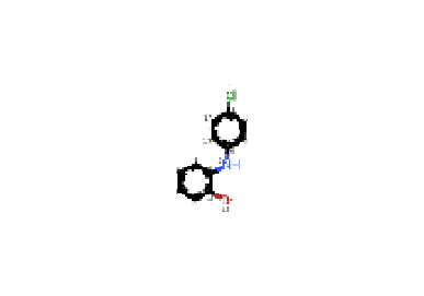 Clc1ccc(Nc2ccccc2Br)cc1